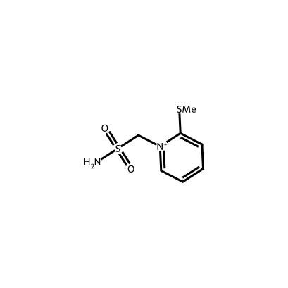 CSc1cccc[n+]1CS(N)(=O)=O